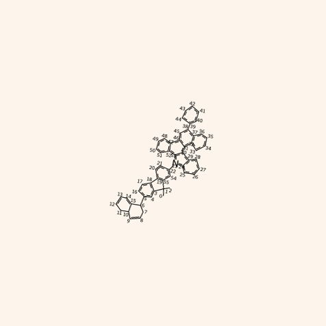 CC1(C)c2cc(C3CC=CC4CC=CC=C43)ccc2-c2ccc(-n3c4ccccc4c4c5c6ccccc6c(-c6ccccc6)cc5c5ccccc5c43)cc21